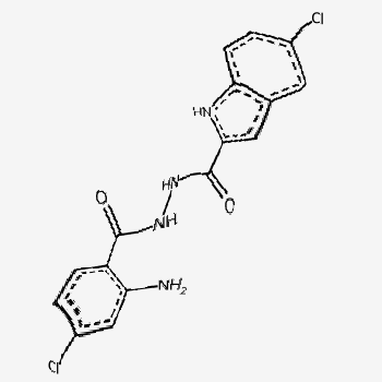 Nc1cc(Cl)ccc1C(=O)NNC(=O)c1cc2cc(Cl)ccc2[nH]1